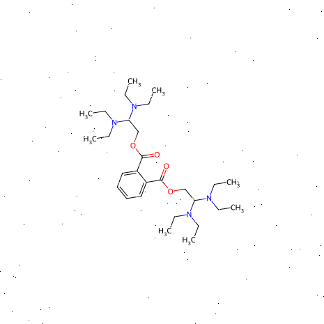 CCN(CC)C(COC(=O)c1ccccc1C(=O)OCC(N(CC)CC)N(CC)CC)N(CC)CC